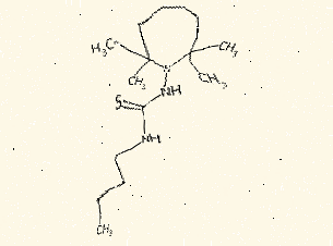 CCCCNC(=S)NN1C(C)(C)CCCC1(C)C